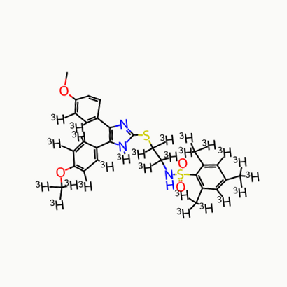 [3H]c1c(OC)ccc(-c2nc(SC([3H])([3H])C([3H])([3H])NS(=O)(=O)c3c(C([3H])([3H])[3H])c([3H])c(C([3H])([3H])[3H])c([3H])c3C([3H])([3H])[3H])n([3H])c2-c2c([3H])c([3H])c(OC([3H])([3H])[3H])c([3H])c2[3H])c1[3H]